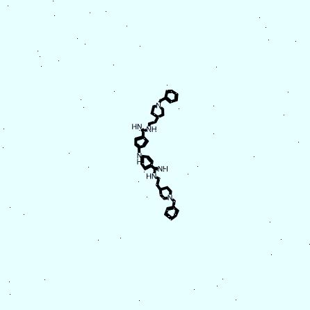 N=C(NCCC1CCN(Cc2ccccc2)CC1)c1ccc(Nc2ccc(C(=N)NCCC3CCN(Cc4ccccc4)CC3)cc2)cc1